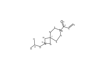 C=CC(=O)N1CCC2(CC1)CN(CC(C)C)C2